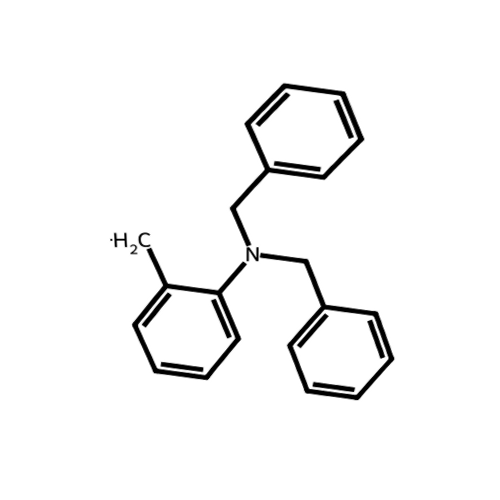 [CH2]c1ccccc1N(Cc1ccccc1)Cc1ccccc1